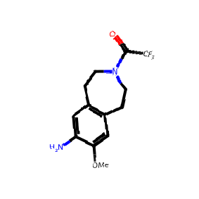 COc1cc2c(cc1N)CCN(C(=O)C(F)(F)F)CC2